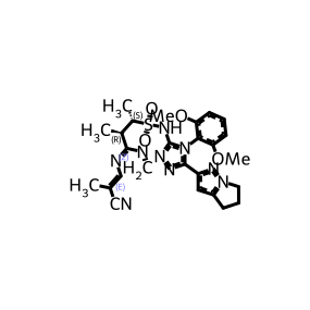 C=N/C(=N\C=C(/C)C#N)[C@@H](C)[C@H](C)S(=O)(=O)Nc1nnc(-c2cc3n(n2)CCC3)n1-c1c(OC)cccc1OC